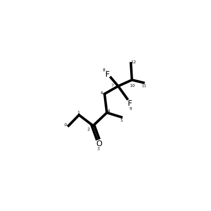 CCC(=O)C(C)CC(F)(F)C(C)C